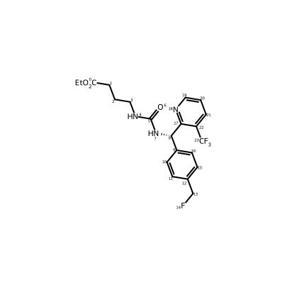 CCOC(=O)CCCNC(=O)N[C@@H](c1ccc(CF)cc1)c1ncccc1C(F)(F)F